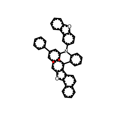 c1ccc(-c2cccc(N(c3ccc4oc5ccccc5c4c3)c3ccccc3-c3cccc4oc5c6ccccc6ccc5c34)c2)cc1